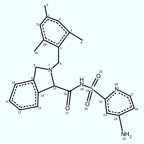 Cc1cc(C)c(CN2Cc3ccccc3C2C(=O)NS(=O)(=O)c2cc(N)ccn2)c(C)c1